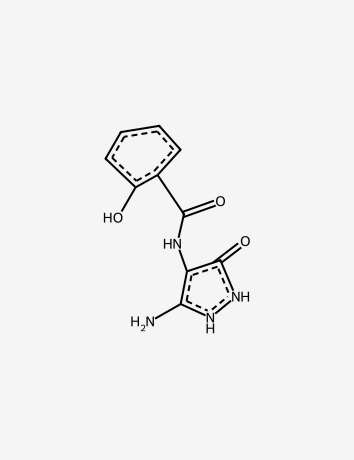 Nc1[nH][nH]c(=O)c1NC(=O)c1ccccc1O